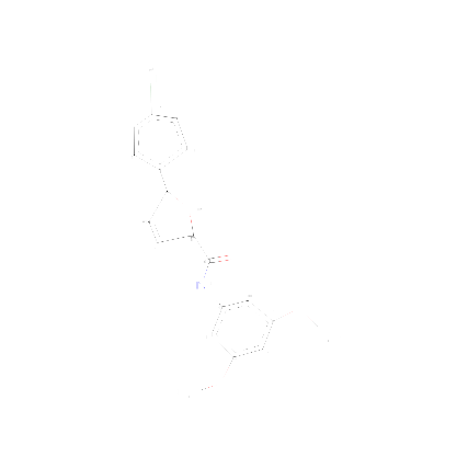 COc1cc(NC(=O)C2C=CC(c3ccc(Cl)cc3)O2)cc(OC)c1